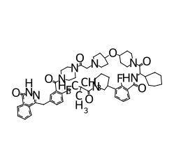 CC(C)(C)C(=O)N1CCCC(c2cccc(C(=O)N[C@@H](C(=O)N3CCC(OC4CCN(CC(=O)N5CCN(C(=O)c6cc(Cc7n[nH]c(=O)c8ccccc78)ccc6F)CC5)CC4)CC3)C3CCCCC3)c2F)C1